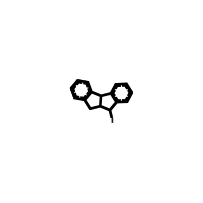 IC1c2ccccc2C2c3ccccc3CC12